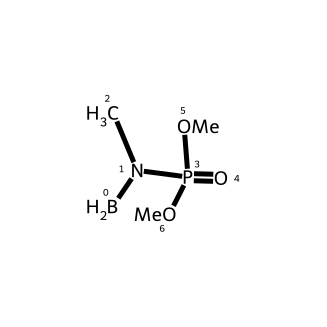 BN(C)P(=O)(OC)OC